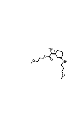 COCCCNC1=C/C(=C(/N)C(=O)OCCCOC)CCC1